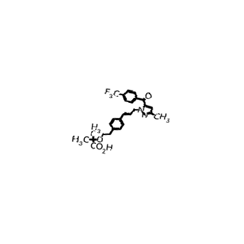 Cc1cc(C(=O)c2ccc(C(F)(F)F)cc2)n(C/C=C/c2ccc(CCOC(C)(C)C(=O)O)cc2)n1